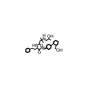 CC(O)CNC(C)(C)CC(=O)NC(CCc1ccccc1)C(=O)NCc1ccc(-c2ccccc2CO)cc1